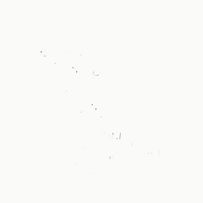 CCOC(=O)NC(CCN1CCC2(CC1)CCN(Cc1cccnc1)C2=O)c1cccs1